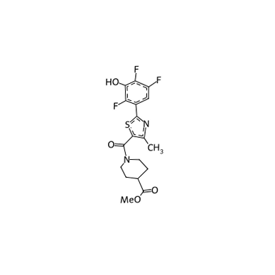 COC(=O)C1CCN(C(=O)c2sc(-c3cc(F)c(F)c(O)c3F)nc2C)CC1